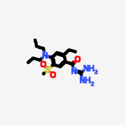 CCCN(CCC)c1cc(CC)c(C(=O)N=C(N)N)cc1S(C)(=O)=O